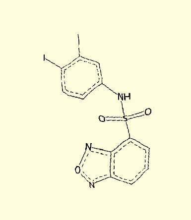 Cc1cc(NS(=O)(=O)c2cccc3nonc23)ccc1I